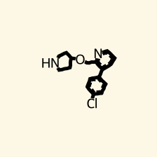 Clc1ccc(-c2cccnc2COC2CCNCC2)cc1